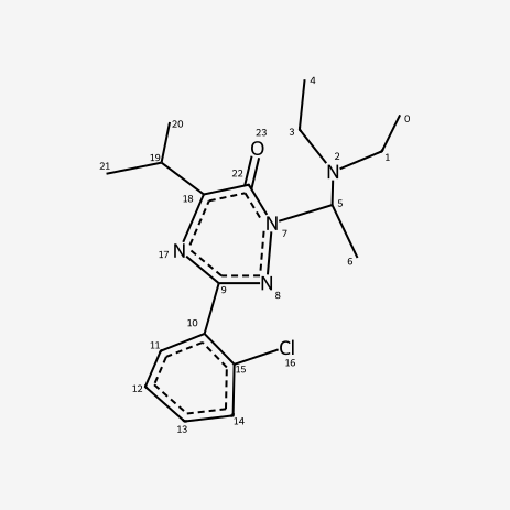 CCN(CC)C(C)n1nc(-c2ccccc2Cl)nc(C(C)C)c1=O